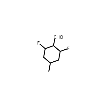 CC1CC(F)C(C=O)C(F)C1